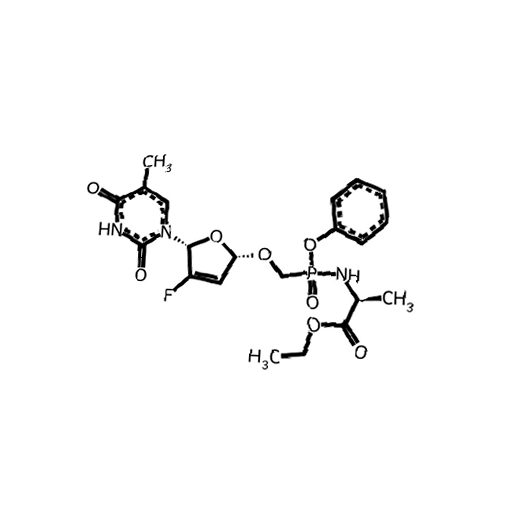 CCOC(=O)[C@H](C)NP(=O)(CO[C@@H]1C=C(F)[C@H](n2cc(C)c(=O)[nH]c2=O)O1)Oc1ccccc1